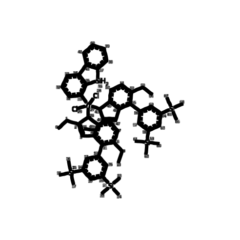 CCC1=Cc2c(ccc(CC)c2-c2cc([Si](C)(C)C)cc([Si](C)(C)C)c2)[CH]1[Zr]([Cl])([Cl])([c]1cccc2c1[SiH2]c1ccccc1-2)[CH]1C(CC)=Cc2c1ccc(CC)c2-c1cc([Si](C)(C)C)cc([Si](C)(C)C)c1